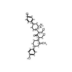 C[C@H]1CN(c2ccc(Cl)cc2)CCN1C(CCl)C(=O)C(CCl)N1CCN(c2ccc(Cl)cc2)C[C@@H]1C